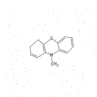 CN1C2=C(CCC=C2)Sc2ccccc21